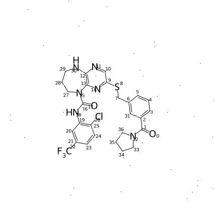 O=C(c1cccc(CSc2cnc3c(n2)N(C(=O)Nc2cc(C(F)(F)F)ccc2Cl)CCCN3)c1)N1CCCC1